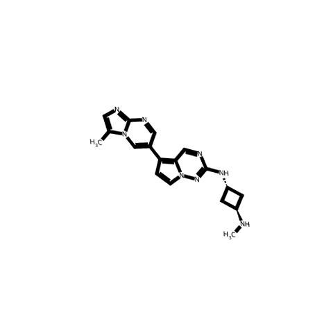 CN[C@H]1C[C@H](Nc2ncc3c(-c4cnc5ncc(C)n5c4)ccn3n2)C1